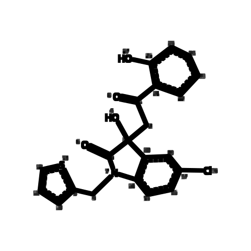 O=C(CC1(O)C(=O)N(Cc2cccs2)c2ccc(Cl)cc21)c1ccccc1O